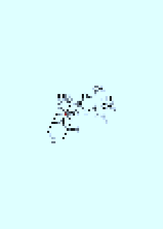 C=C(B1OC(C)(C)C(C)(C)O1)[C@@H]1CC2COC[C@@H](C1)N2C(=O)OC(C)(C)C